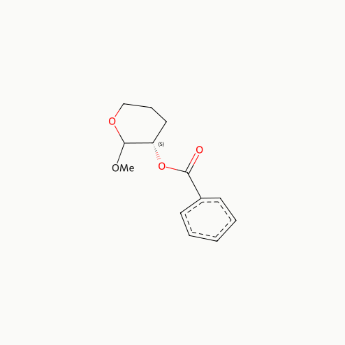 COC1OCCC[C@@H]1OC(=O)c1ccccc1